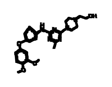 COc1ccc(Oc2ccc(Nc3nc(C)nc(N4CCN(CCO)CC4)n3)cc2)cc1OC